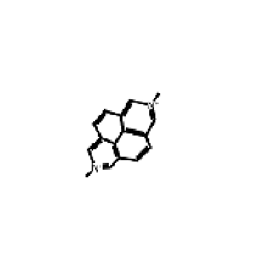 C[n+]1cc2ccc3c[n+](C)cc4ccc(c1)c2c34